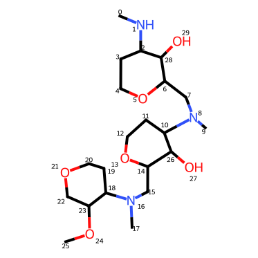 CNC1CCOC(CN(C)C2CCOC(CN(C)C3CCOCC3OC)C2O)C1O